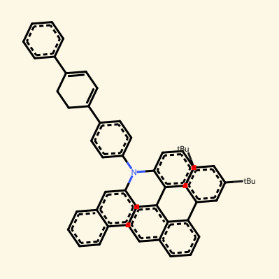 CC(C)(C)c1cc(-c2cccc3cccc(-c4ccccc4N(c4ccc(C5=CC=C(c6ccccc6)CC5)cc4)c4ccc5ccccc5c4)c23)cc(C(C)(C)C)c1